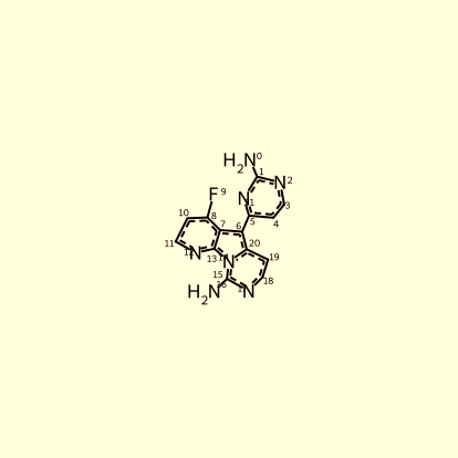 Nc1nccc(-c2c3c(F)ccnc3n3c(N)nccc23)n1